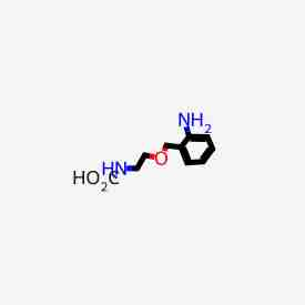 Nc1ccccc1COCCNC(=O)O